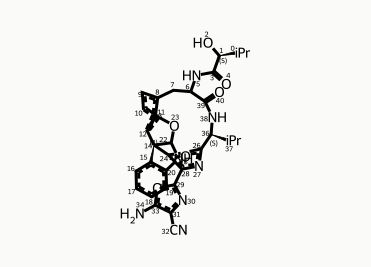 CC(C)[C@H](O)C(=O)NC1Cc2ccc3c(c2)[C@@]2(c4ccccc4NC2O3)c2oc(nc2-c2nc(C#N)c(N)o2)[C@H](C(C)C)NC1=O